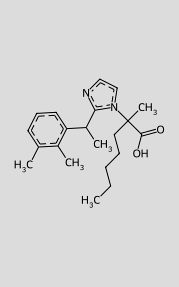 CCCCCC(C)(C(=O)O)n1ccnc1C(C)c1cccc(C)c1C